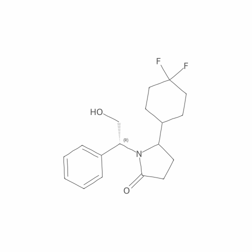 O=C1CCC(C2CCC(F)(F)CC2)N1[C@@H](CO)c1ccccc1